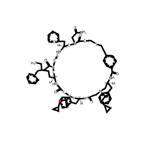 NCCCC[C@H]1CN(C(=O)CCc2ccccc2)CCN[C@@H](Cc2ccccc2)CN(CC(N)=O)C(=O)CCSCc2ccc(cc2)C(=O)N[C@@H](Cc2ccccc2)CN(C(=O)CC2CC2)CC(=O)N[C@@H](Cc2ccccc2)CN(C(=O)CC2CC2)CC(=O)N1